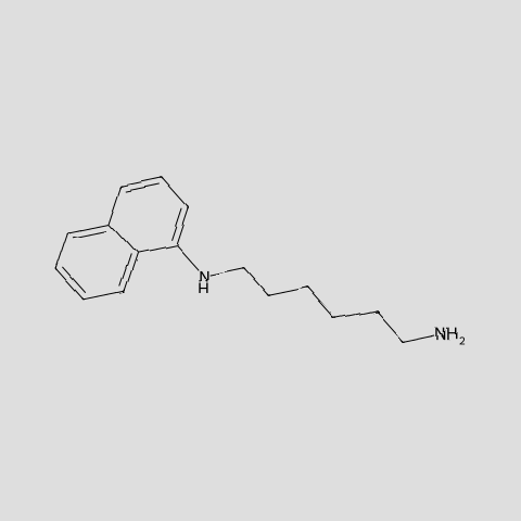 NCCCCCCNc1cccc2ccccc12